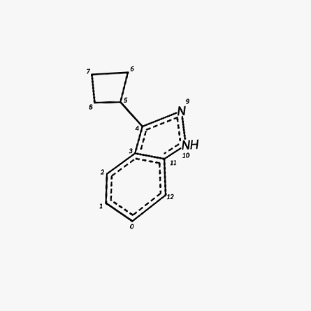 c1ccc2c(C3CCC3)n[nH]c2c1